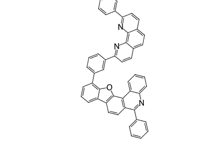 c1ccc(-c2ccc3ccc4ccc(-c5cccc(-c6cccc7c6oc6c7ccc7c(-c8ccccc8)nc8ccccc8c76)c5)nc4c3n2)cc1